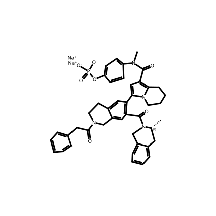 C[C@@H]1Cc2ccccc2CN1C(=O)c1cc2c(cc1-c1cc(C(=O)N(C)c3ccc(OP(=O)([O-])[O-])cc3)c3n1CCCC3)CCN(C(=O)Cc1ccccc1)C2.[Na+].[Na+]